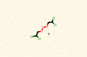 ClC(Cl)COOOCC(Cl)Cl.[V]